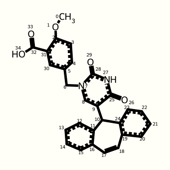 COc1ccc(Cn2cc(C3c4ccccc4C=Cc4ccccc43)c(=O)[nH]c2=O)cc1C(=O)O